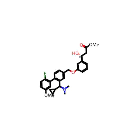 COC(=O)C[C@@H](O)c1cccc(OCc2ccc(-c3cc(OC)ccc3F)c(C(C3CC3)N(C)C)c2)c1